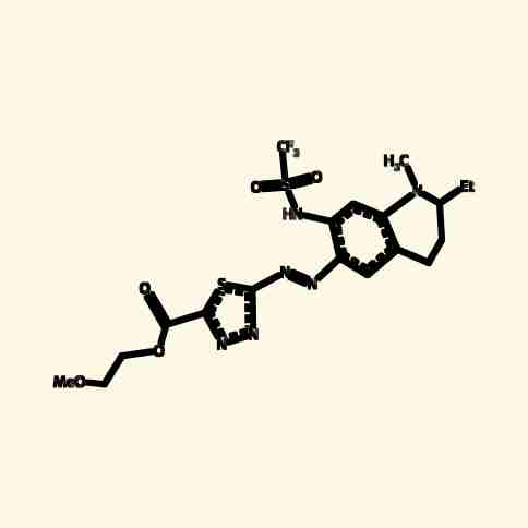 CCC1CCc2cc(N=Nc3nnc(C(=O)OCCOC)s3)c(NS(=O)(=O)C(F)(F)F)cc2N1C